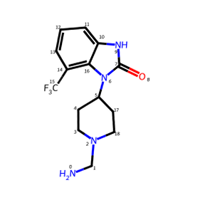 NCN1CCC(n2c(=O)[nH]c3cccc(C(F)(F)F)c32)CC1